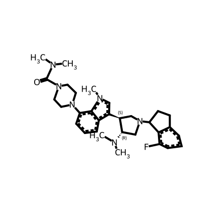 CN(C)C(=O)N1CCN(c2cccc3c([C@H]4CN(C5CCc6cccc(F)c65)C[C@@H]4N(C)C)cn(C)c23)CC1